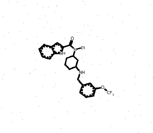 CCN(C(=O)c1cc2ccccc2[nH]1)C1CCCC(NCc2cccc(OC(F)(F)F)c2)C1